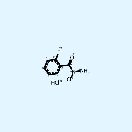 Cl.NN(Cl)C(=O)c1ccccc1F